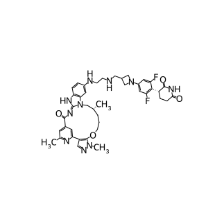 Cc1cc2cc(n1)-c1cnn(C)c1OCCC[C@@H](C)CN1/C(=N/C2=O)Nc2ccc(NCCNCC3CN(c4cc(F)c([C@H]5CCC(=O)NC5=O)c(F)c4)C3)cc21